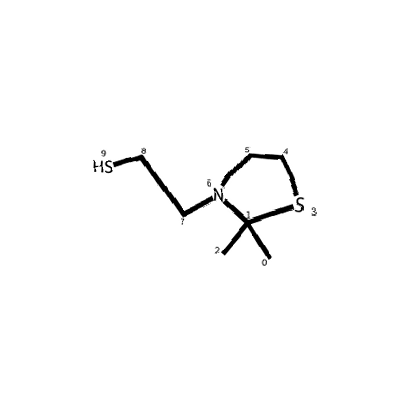 CC1(C)SCCN1CCS